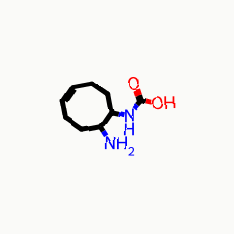 NC1CC/C=C\CCC1NC(=O)O